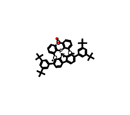 COc1cccc(OC)c1P(c1c(OC)cccc1OC)n1c2cc(-c3cc(C(C)(C)C)cc(C(C)(C)C)c3)ccc2c2ccc(-c3cc(C(C)(C)C)cc(C(C)(C)C)c3)cc21